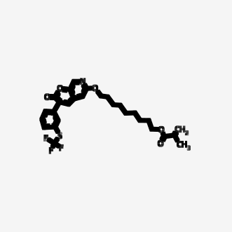 C=C(C)C(=O)OCCCCCCCCCOc1cc2cc(-c3cccc(SC(F)(F)F)c3)c(=O)oc2cn1